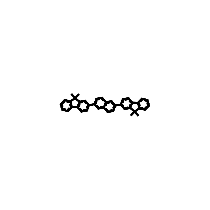 CC1(C)c2ccccc2-c2ccc(-c3ccc4cc(-c5ccc6c(c5)C(C)(C)c5ccccc5-6)ccc4c3)cc21